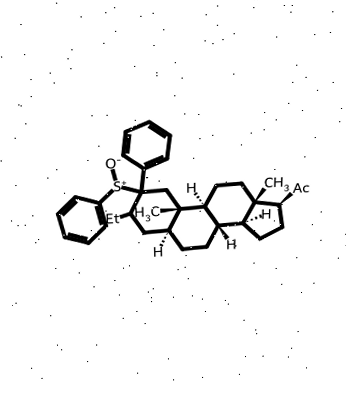 CCC1C[C@@H]2CC[C@@H]3[C@H](CC[C@]4(C)[C@@H](C(C)=O)CC[C@@H]34)[C@@]2(C)CC1(c1ccccc1)[S+]([O-])c1ccccc1